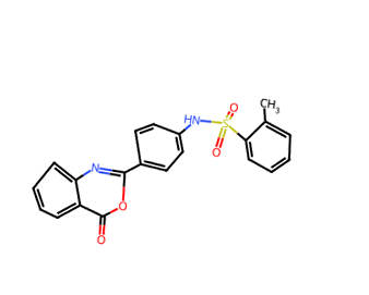 Cc1ccccc1S(=O)(=O)Nc1ccc(-c2nc3ccccc3c(=O)o2)cc1